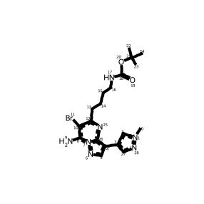 Cn1cc(-c2cnn3c(N)c(Br)c(CCCCNC(=O)OC(C)(C)C)nc23)cn1